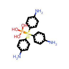 Nc1ccc([SH](c2ccc(N)cc2)(c2ccc(N)cc2)=P(O)(O)O)cc1